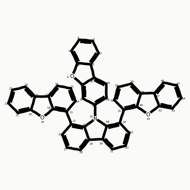 c1ccc2c(c1)oc1cc(-n3c4c(-c5cccc6c5oc5ccccc56)cccc4c4cccc(-c5cccc6c5oc5ccccc56)c43)ccc12